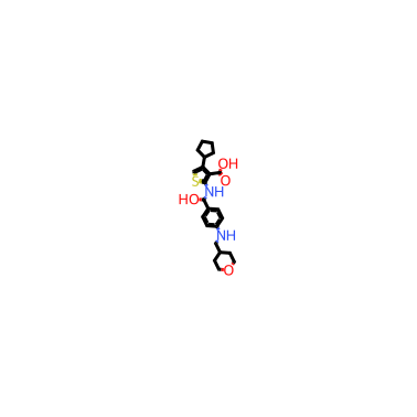 O=C(O)c1c(C2CCCC2)csc1NC(O)c1ccc(NCC2CCOCC2)cc1